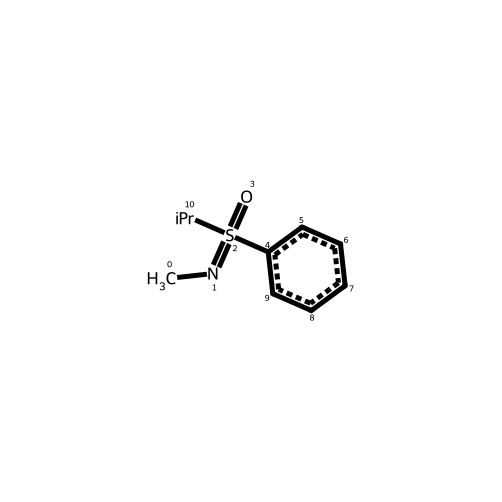 CN=S(=O)(c1ccccc1)C(C)C